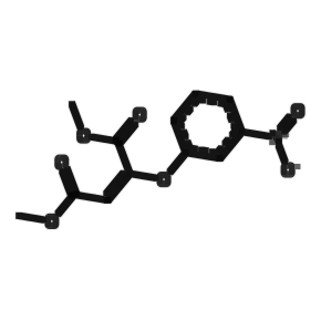 COC(=O)/C=C(/Oc1cccc([N+](=O)[O-])c1)C(=O)OC